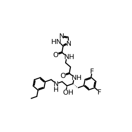 CCc1cccc(CNC[C@H](O)[C@@H](Cc2cc(F)cc(F)c2)NC(=O)CCNC(=O)c2ncn[nH]2)c1